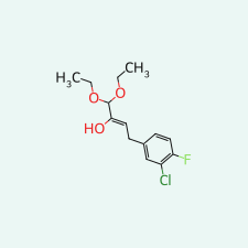 CCOC(OCC)/C(O)=C/Cc1ccc(F)c(Cl)c1